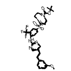 COc1cccc(C=Cc2cnc(Nc3ccc(S(=O)(=O)N4CCN(C(=O)OC(C)(C)C)CC4)cc3C(F)(F)F)nc2)c1